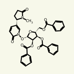 CN1C(=O)CC[C@H]1c1ccc(=O)n(O[C@@H]2O[C@H](COC(=O)c3ccccc3)[C@@H](OC(=O)c3ccccc3)[C@H]2OC(=O)c2ccccc2)c1